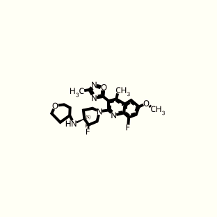 COc1cc(F)c2nc(N3CC[C@H](NC4CCOCC4)[C@H](F)C3)c(-c3nc(C)no3)c(C)c2c1